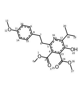 COC(=O)c1c(CCc2ccc(OC)cc2)nc(C(C)C)c(O)c1C(=O)OC